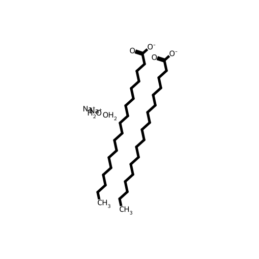 CCCCCCCCCCCCCCCCCC(=O)[O-].CCCCCCCCCCCCCCCCCC(=O)[O-].O.O.[Na+].[Na+]